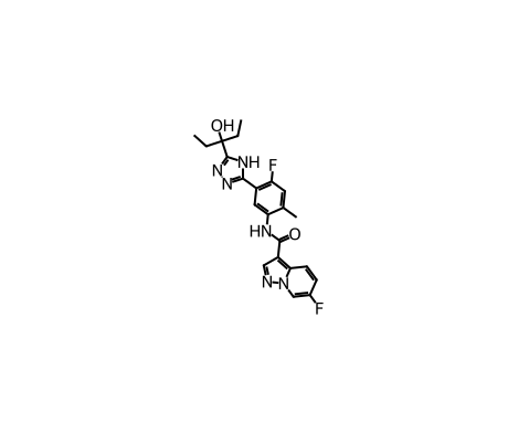 CCC(O)(CC)c1nnc(-c2cc(NC(=O)c3cnn4cc(F)ccc34)c(C)cc2F)[nH]1